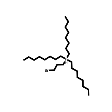 CCCCCCCC[PH](CCCBr)(CCCCCCCC)CCCCCCCC